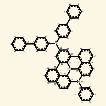 c1ccc(-c2ccc(N(c3ccc(-c4ccccc4)cc3)c3cc4c5c(c3)-c3cccc6ccc7c(c36)B5c3c(ccc5cccc-4c35)N7c3ccccc3)cc2)cc1